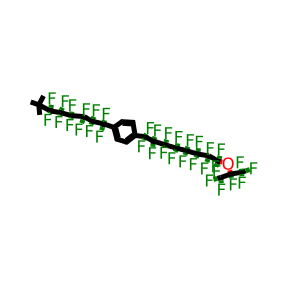 CC(C)(C)C(F)(F)C(F)(F)C(F)(F)C(F)(F)C(F)(F)C(F)(F)c1ccc(C(F)(F)C(F)(F)C(F)(F)C(F)(F)C(F)(F)C(F)(F)C(F)(F)C(F)(F)OC(F)(C(F)(F)F)C(F)(F)F)cc1